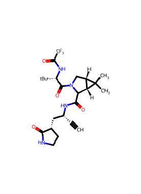 C#C[C@H](C[C@@H]1CCNC1=O)NC(=O)C1[C@@H]2[C@H](CN1C(=O)[C@@H](NC(=O)C(F)(F)F)C(C)(C)C)C2(C)C